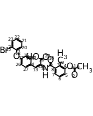 CC(=O)Oc1cccc(C(=O)NC(=Cc2ccc(Oc3ccccc3Br)cc2)C(=O)O)c1C